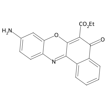 CCOC(=O)c1c2oc3cc(N)ccc3nc-2c2ccccc2c1=O